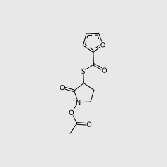 CC(=O)ON1CCC(SC(=O)c2ccco2)C1=O